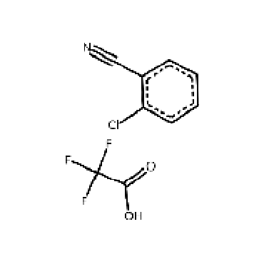 N#Cc1ccccc1Cl.O=C(O)C(F)(F)F